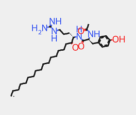 [CH2]CCCCCCCCCCCCCCCC(=O)[C@H](CCCNC(=N)N)NC(=O)[C@H](Cc1ccc(O)cc1)NC(C)=O